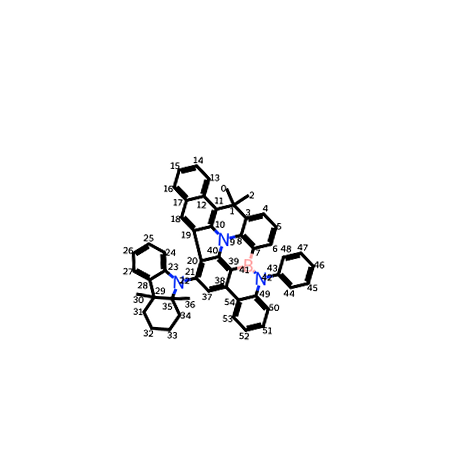 CC1(C)c2cccc3c2-n2c4c1c1ccccc1cc4c1c(N4c5ccccc5C5(C)CCCCC45C)cc4c(c12)B3N(c1ccccc1)c1ccccc1-4